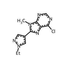 CCn1cc(-c2nc3c(Cl)ncnc3n2C)cn1